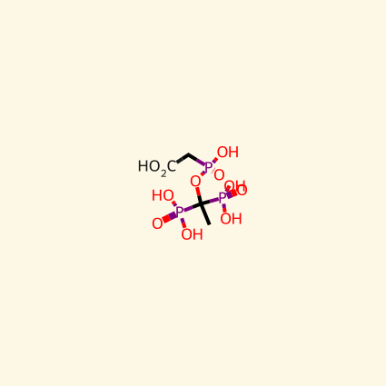 CC(OP(=O)(O)CC(=O)O)(P(=O)(O)O)P(=O)(O)O